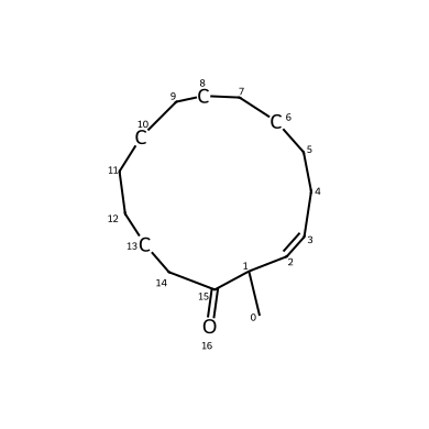 CC1C=CCCCCCCCCCCCC1=O